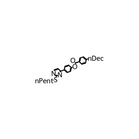 CCCCCCCCCCc1ccc(C(=O)Oc2ccc(-c3ccnc(SCCCCC)n3)cc2)cc1